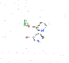 Brc1cccnc1.Brc1cccnc1.Cl.Cl